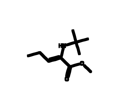 CCC=C(NC(C)(C)C)C(=O)OC